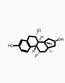 CC[C@H]1Cc2cc(O)ccc2[C@@H]2[C@@H]1[C@@H]1C[C@@H](O)C[C@@]1(C)C[C@@H]2F